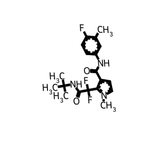 Cc1cc(NC(=O)c2ccn(C)c2C(F)(F)C(=O)NC(C)(C)C)ccc1F